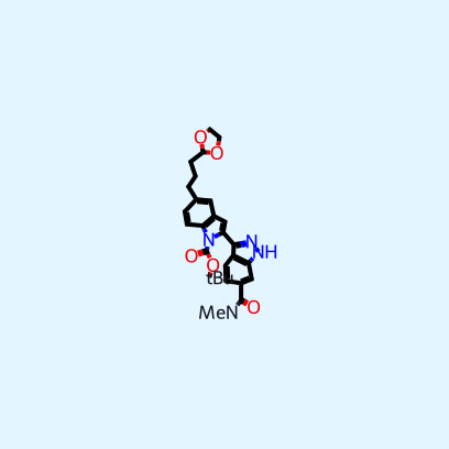 CNC(=O)c1ccc2c(-c3cc4cc(CCCC5OCCO5)ccc4n3C(=O)OC(C)(C)C)n[nH]c2c1